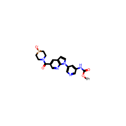 CC(C)OC(=O)Nc1cncc(-n2ccc3cc(C(=O)N4CC[S+]([O-])CC4)cnc32)c1